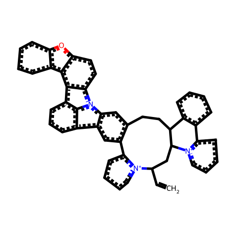 C=CC1CC2C(CCc3cc4c(cc3-c3cccc[n+]31)c1cccc3c5c6c(ccc5n4c13)oc1ccccc16)c1ccccc1-c1cccc[n+]12